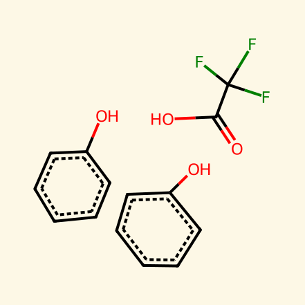 O=C(O)C(F)(F)F.Oc1ccccc1.Oc1ccccc1